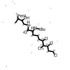 CCCC(C)C(C)C(O)CNC(=O)C(CCCC(Cl)C(Cl)C(Cl)CCCl)NC(C)(C)C